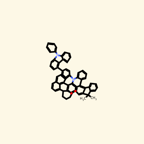 CC1(C)c2ccccc2-c2c(-c3ccccc3N(c3ccc(-c4cccc5c4c4ccccc4n5-c4ccccc4)cc3)c3ccccc3-c3cccc4cccc(C5CCCCC5)c34)cccc21